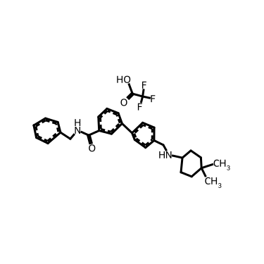 CC1(C)CCC(NCc2ccc(-c3cccc(C(=O)NCc4ccccc4)c3)cc2)CC1.O=C(O)C(F)(F)F